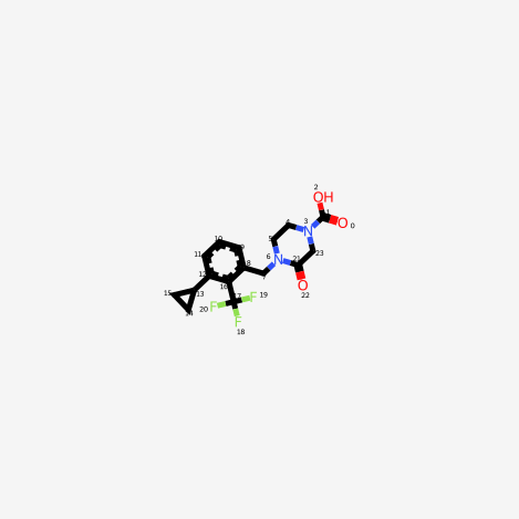 O=C(O)N1CCN(Cc2cccc(C3CC3)c2C(F)(F)F)C(=O)C1